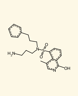 Cc1cnc(O)c2cccc(S(=O)(=O)N(CCCN)CCCc3ccccc3)c12